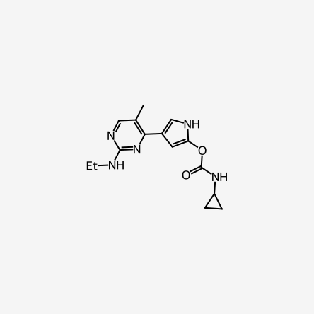 CCNc1ncc(C)c(-c2c[nH]c(OC(=O)NC3CC3)c2)n1